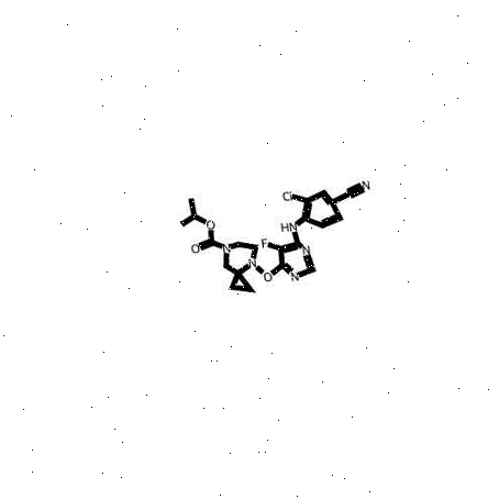 CC(C)OC(=O)N1CCN(Oc2ncnc(Nc3ccc(C#N)cc3Cl)c2F)C2(CC2)C1